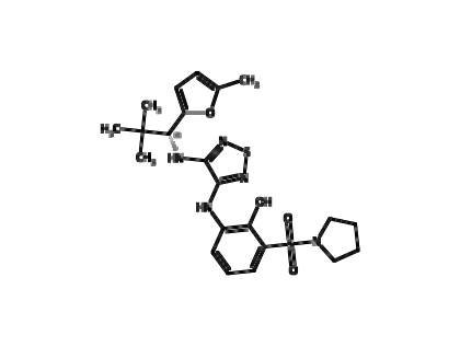 Cc1ccc([C@H](Nc2nsnc2Nc2cccc(S(=O)(=O)N3CCCC3)c2O)C(C)(C)C)o1